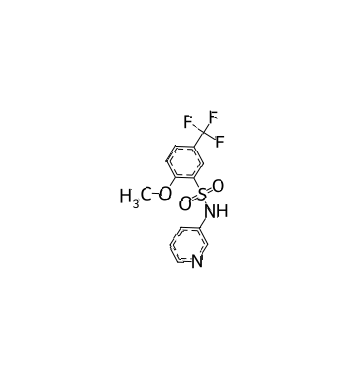 COc1ccc(C(F)(F)F)cc1S(=O)(=O)Nc1cccnc1